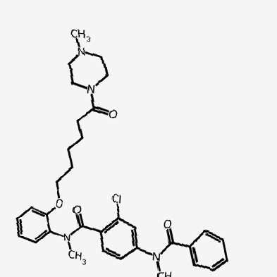 CN1CCN(C(=O)CCCCCOc2ccccc2N(C)C(=O)c2ccc(N(C)C(=O)c3ccccc3)cc2Cl)CC1